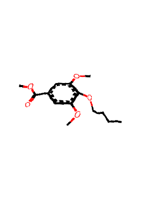 CCCCOc1c(OC)cc(C(=O)OC)cc1OC